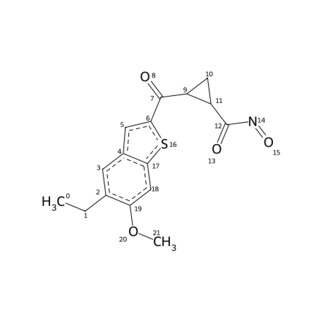 CCc1cc2cc(C(=O)C3CC3C(=O)N=O)sc2cc1OC